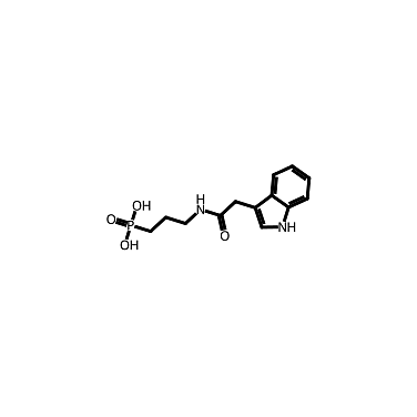 O=C(Cc1c[nH]c2ccccc12)NCCCP(=O)(O)O